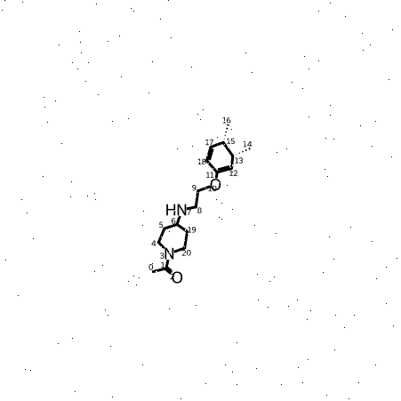 CC(=O)N1CCC(NCCOC2=C[C@@H](C)[C@@H](C)C=C2)CC1